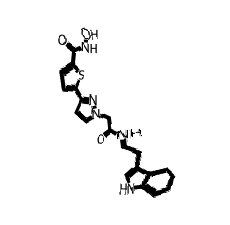 O=C(Cn1ccc(-c2ccc(C(=O)NO)s2)n1)NCCc1c[nH]c2ccccc12